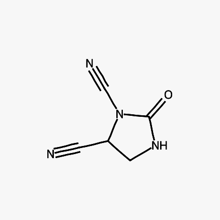 N#CC1CNC(=O)N1C#N